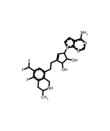 CC1Cc2c(F)c(C(F)F)cc(CCC3=CC(n4ccc5c(N)ncnc54)C(O)C3O)c2CN1